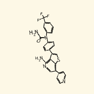 NC(=O)N(c1ccc(-c2csc3c(-c4ccncc4)cnc(N)c23)cc1)c1cccc(C(F)(F)F)c1